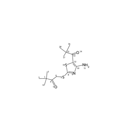 CC(C)(C)C(=O)CSc1nc(N)c(C(=O)C(C)(C)C)s1